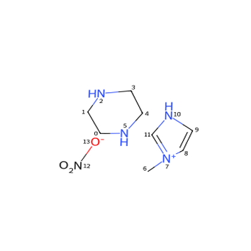 C1CNCCN1.C[n+]1cc[nH]c1.O=[N+]([O-])[O-]